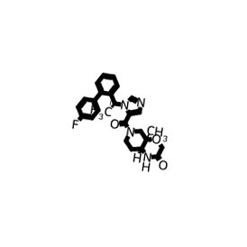 C[C@@H](c1ccccc1-c1ccc(F)cc1)n1cncc1C(=O)N1CC[C@H]2NC(=O)CO[C@]2(C)C1